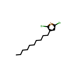 CCCCCCCCCCc1cc(Br)sc1Br